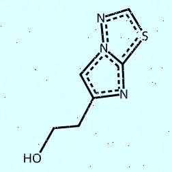 OCCc1cn2ncsc2n1